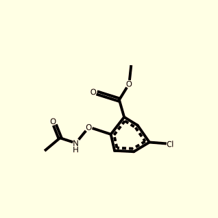 COC(=O)c1cc(Cl)ccc1ONC(C)=O